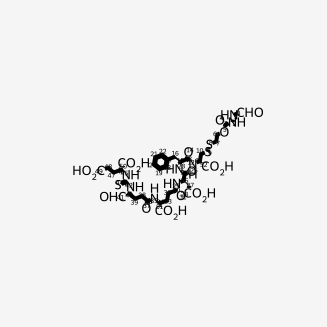 O=CNNC(=O)OCCSSC[C@@H](NC(=O)[C@H](Cc1ccccc1)NC(=O)[C@H](CC(=O)O)NC(=O)CC[C@H](NC(=O)CC[C@@H](C=O)NC(=S)NC(CCC(=O)O)C(=O)O)C(=O)O)C(=O)O